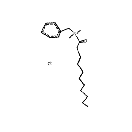 CCCCCCCCCCC(=O)[N+](C)(C)Cc1ccccc1.[Cl-]